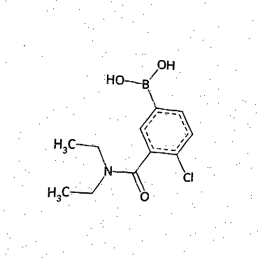 CCN(CC)C(=O)c1cc(B(O)O)ccc1Cl